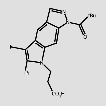 CC(C)c1c(I)c2cc3cnn(C(=O)C(C)(C)C)c3cc2n1CCC(=O)O